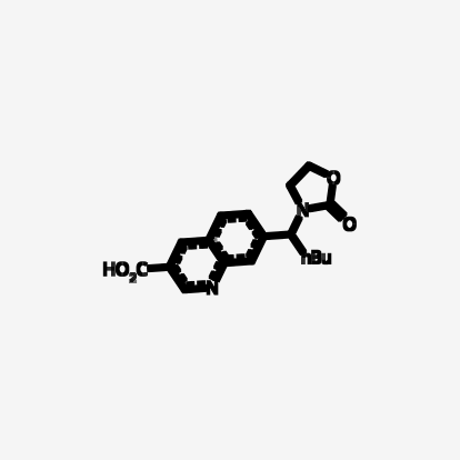 CCCCC(c1ccc2cc(C(=O)O)cnc2c1)N1CCOC1=O